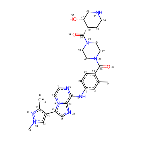 Cc1cc(Nc2nccn3c(-c4cn(C)nc4C(F)(F)F)cnc23)ccc1C(=O)N1CCN(C(=O)[C@H]2CCNC[C@H]2O)CC1